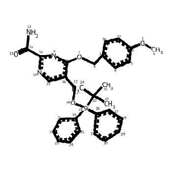 COc1ccc(COc2nc(C(N)=O)ncc2CO[Si](c2ccccc2)(c2ccccc2)C(C)(C)C)cc1